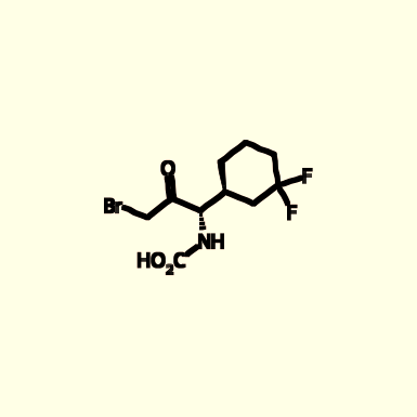 O=C(O)N[C@H](C(=O)CBr)[C@H]1CCCC(F)(F)C1